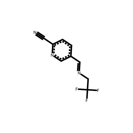 N#Cc1ccc(C=NCC(F)(F)F)cn1